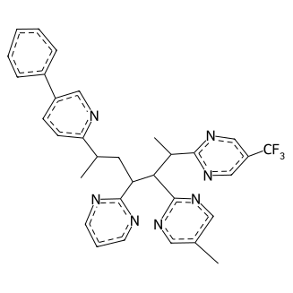 Cc1cnc(C(C(C)c2ncc(C(F)(F)F)cn2)C(CC(C)c2ccc(-c3ccccc3)cn2)c2ncccn2)nc1